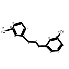 Oc1cccc(CCCc2cccc(O)c2)c1